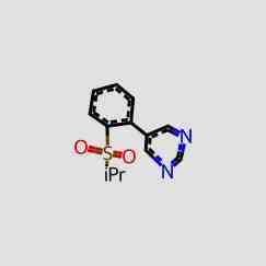 CC(C)S(=O)(=O)c1ccccc1-c1cncnc1